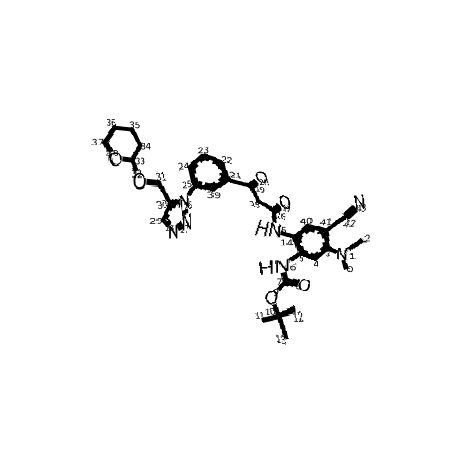 CN(C)c1cc(NC(=O)OC(C)(C)C)c(NC(=O)CC(=O)c2cccc(-n3nncc3COC3CCCCO3)c2)cc1C#N